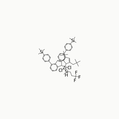 C[SiH](CCC(F)(F)F)[Zr]([Cl])([Cl])([CH]1C(CC(C)(C)C)=Cc2c(-c3ccc([Si](C)(C)C)cc3)cccc21)[CH]1C(CC(C)(C)C)=Cc2c(-c3ccc([Si](C)(C)C)cc3)cccc21